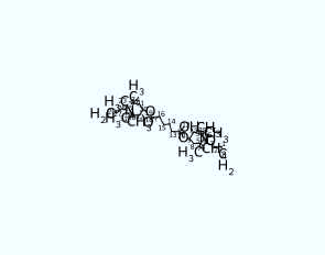 C=CCON1C(C)(C)CC(OC(O)CCCCC(=O)OC2CC(C)(C)N(CC=C)C(C)(C)C2)CC1(C)C